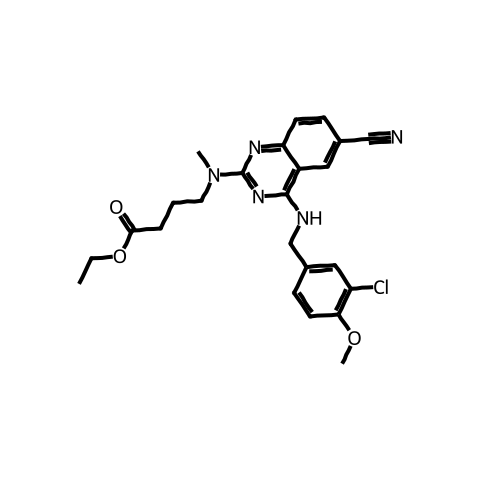 CCOC(=O)CCCN(C)c1nc(NCc2ccc(OC)c(Cl)c2)c2cc(C#N)ccc2n1